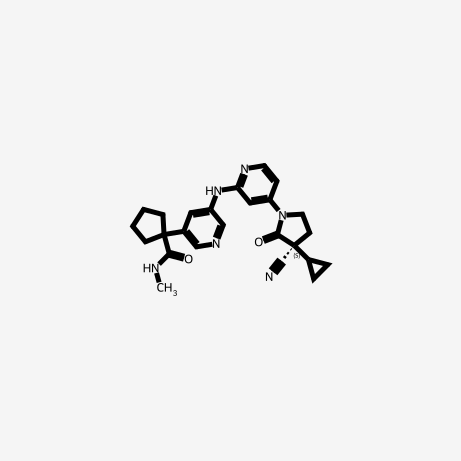 CNC(=O)C1(c2cncc(Nc3cc(N4CC[C@@](C#N)(C5CC5)C4=O)ccn3)c2)CCCC1